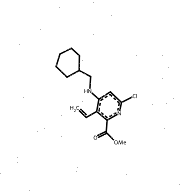 C=Cc1c(NCC2CCCCC2)cc(Cl)nc1C(=O)OC